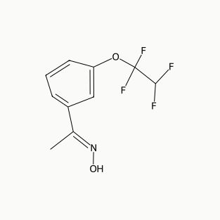 CC(=NO)c1cccc(OC(F)(F)C(F)F)c1